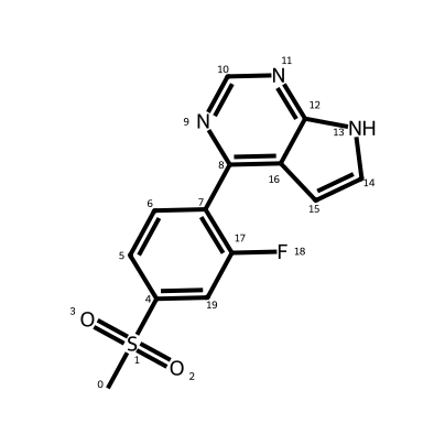 CS(=O)(=O)c1ccc(-c2ncnc3[nH]ccc23)c(F)c1